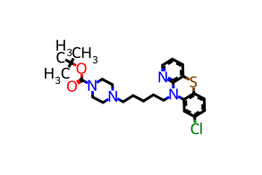 CC(C)(C)OC(=O)N1CCN(CCCCCN2c3cc(Cl)ccc3Sc3cccnc32)CC1